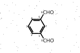 O=Cc1[c]ccc(C=O)c1